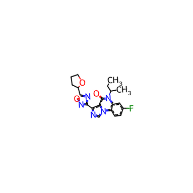 CCC(C)n1c(=O)c2c(-c3noc(C4CCCO4)n3)ncn2c2ccc(F)cc21